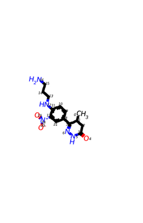 CC1CC(=O)NN=C1c1ccc(NCCCN)c([N+](=O)[O-])c1